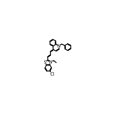 CC[n+]1c(/C=C/C=C2\C=CN(Cc3ccccc3)c3ccccc32)sc2ccc(Cl)cc21